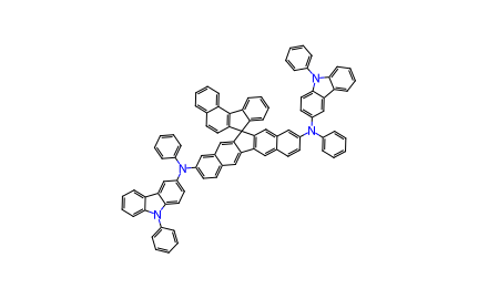 c1ccc(N(c2ccc3cc4c(cc3c2)C2(c3cc5cc(N(c6ccccc6)c6ccc7c(c6)c6ccccc6n7-c6ccccc6)ccc5cc3-4)c3ccccc3-c3c2ccc2ccccc32)c2ccc3c(c2)c2ccccc2n3-c2ccccc2)cc1